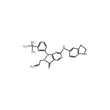 C=CCn1c(=O)c2cnc(Nc3ccc4c(c3)CCN4)nc2n1-c1cccc(C(C)(C)C)n1